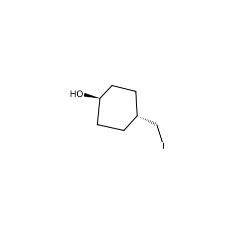 O[C@H]1CC[C@H](CI)CC1